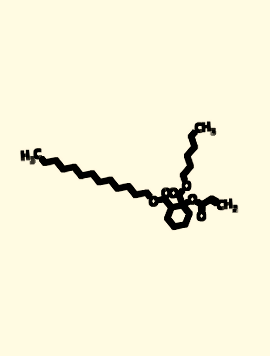 C=CC(=O)OC1(C(=O)OCCCCCC)CCCCC1C(=O)OCCCCCCCCCCCCC